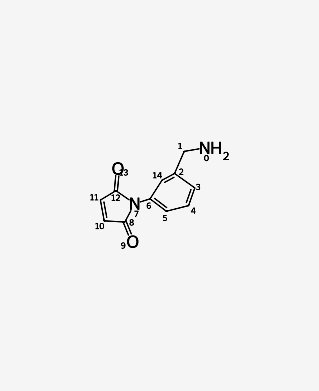 NCc1cccc(N2C(=O)C=CC2=O)c1